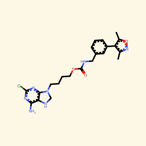 Cc1noc(C)c1-c1cccc(CNC(=O)OCCCCN2CNc3c(N)nc(Cl)nc32)c1